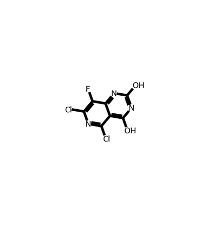 Oc1nc(O)c2c(Cl)nc(Cl)c(F)c2n1